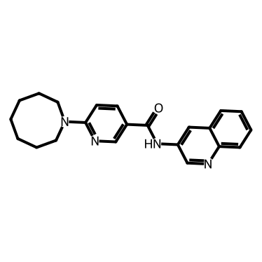 O=C(Nc1cnc2ccccc2c1)c1ccc(N2CCCCCCC2)nc1